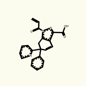 C=CC(=O)n1nc(C(=O)O)c2c1CC(c1ccccc1)(c1ccccn1)C=C2